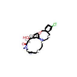 C[C@H]1C(=O)N(C)C/C=C/CCCCCN2CCCCc3cc(Cl)ccc3COc3ccc(cc32)[C@@]1(O)C(=O)O